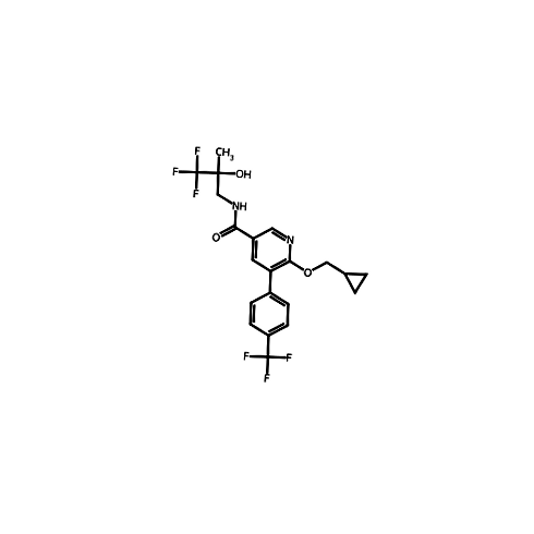 CC(O)(CNC(=O)c1cnc(OCC2CC2)c(-c2ccc(C(F)(F)F)cc2)c1)C(F)(F)F